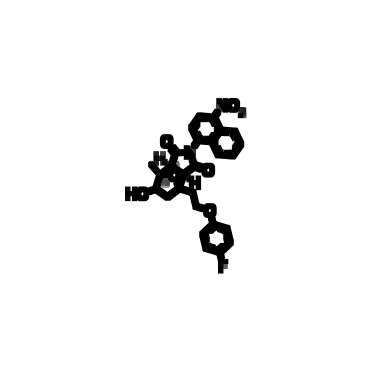 C[C@@]12OC(CCOc3ccc(F)cc3)(CC1O)[C@@H]1C(=O)N(c3ccc([N+](=O)[O-])c4ccccc34)C(=O)[C@@H]12